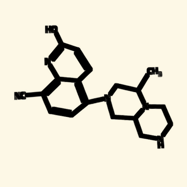 CC1CN(c2ccc(C#N)c3nc(O)ccc23)CC2CNCCN12